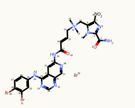 Cn1c(C(N)=O)nc([N+](=O)[O-])c1C[N+](C)(C)C/C=C/C(=O)Nc1cc2c(Nc3ccc(Br)c(Br)c3)ncnc2cn1.[Br-]